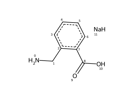 NCc1ccccc1C(=O)O.[NaH]